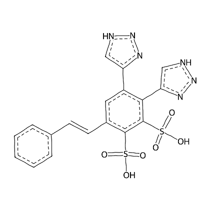 O=S(=O)(O)c1c(C=Cc2ccccc2)cc(-c2c[nH]nn2)c(-c2c[nH]nn2)c1S(=O)(=O)O